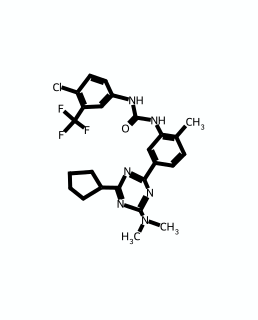 Cc1ccc(-c2nc(C3CCCC3)nc(N(C)C)n2)cc1NC(=O)Nc1ccc(Cl)c(C(F)(F)F)c1